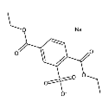 CCOC(=O)c1ccc(C(=O)OCC)c(S(=O)(=O)[O-])c1.[Na+]